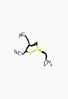 CC=S1C=C(C#N)C(C#N)S1